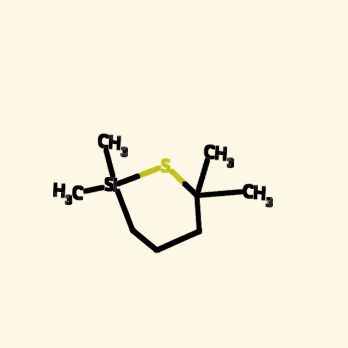 CC1(C)CCC[Si](C)(C)S1